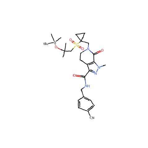 Cn1nc(C(=O)NCc2ccc(C#N)cc2)c2c1C(=O)N(CC1(S(=O)(=O)CC(C)(C)O[Si](C)(C)C(C)(C)C)CC1)CC2